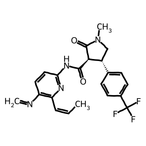 C=Nc1ccc(NC(=O)[C@H]2C(=O)N(C)C[C@@H]2c2ccc(C(F)(F)F)cc2)nc1/C=C\C